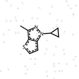 Cc1nn(C2CC2)c2ccsc12